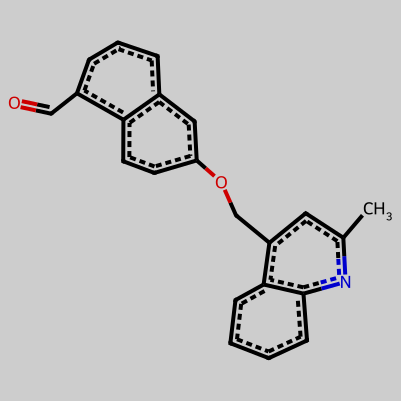 Cc1cc(COc2ccc3c(C=O)cccc3c2)c2ccccc2n1